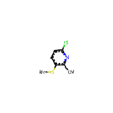 CC(C)Sc1ccc(Cl)nc1C#N